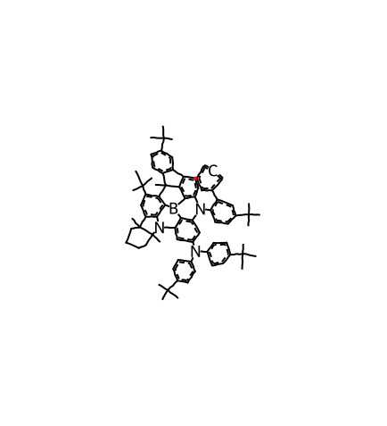 CC(C)(C)c1ccc(N(c2ccc(C(C)(C)C)cc2)c2cc3c4c(c2)N2c5c(cc(C(C)(C)C)c6c5B4c4c(ccc5c4C6(C)c4ccc(C(C)(C)C)cc4-5)N3c3ccc(C(C)(C)C)cc3-c3ccccc3)C3(C)CCCCC23C)cc1